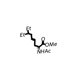 CCC(CC)CC=CC[C@H](NC(C)=O)C(=O)OC